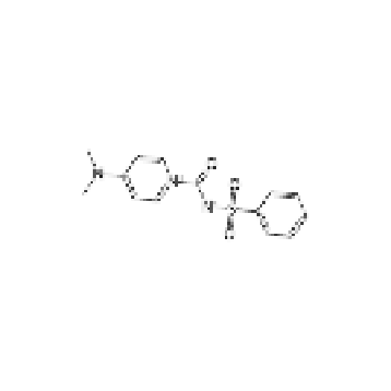 CN(C)c1cc[n+](C(=O)[N-]S(=O)(=O)c2ccccc2)cc1